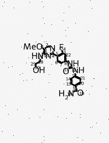 COc1cnc(-c2ccc(NC(=O)Nc3ccc(C(N)=O)cc3)cc2F)nc1NCCO